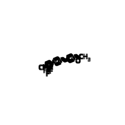 CC(=O)CN1CCC(CCN2CCN(c3ccc(Cl)c(C(F)(F)F)c3)CC2)CC1